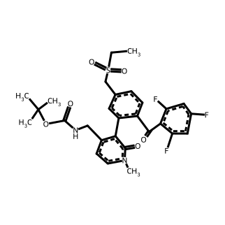 CCS(=O)(=O)Cc1ccc(C(=O)c2c(F)cc(F)cc2F)c(-c2c(CNC(=O)OC(C)(C)C)ccn(C)c2=O)c1